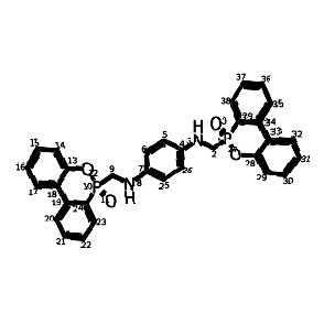 O=P1(CNc2ccc(NCP3(=O)Oc4ccccc4-c4ccccc43)cc2)Oc2ccccc2-c2ccccc21